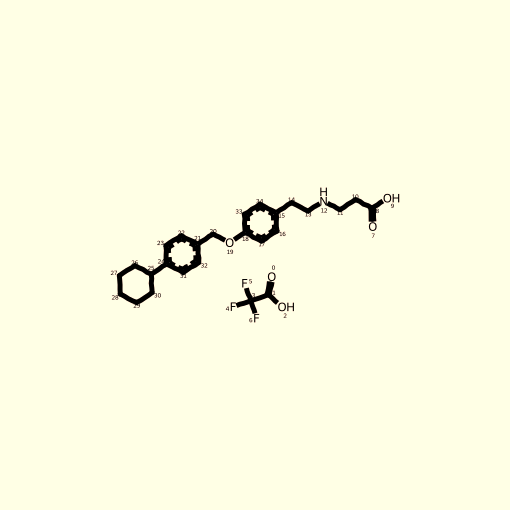 O=C(O)C(F)(F)F.O=C(O)CCNCCc1ccc(OCc2ccc(C3CCCCC3)cc2)cc1